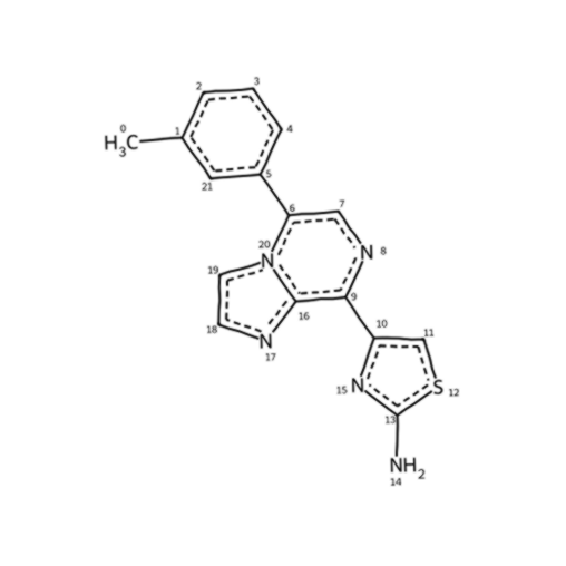 Cc1cccc(-c2cnc(-c3csc(N)n3)c3nccn23)c1